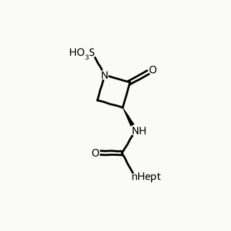 CCCCCCCC(=O)N[C@H]1CN(S(=O)(=O)O)C1=O